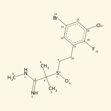 CNC(=N)C(C)(C)[S+]([O-])CCc1cc(Br)cc(Cl)c1F